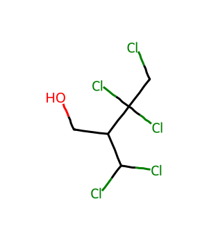 OCC(C(Cl)Cl)C(Cl)(Cl)CCl